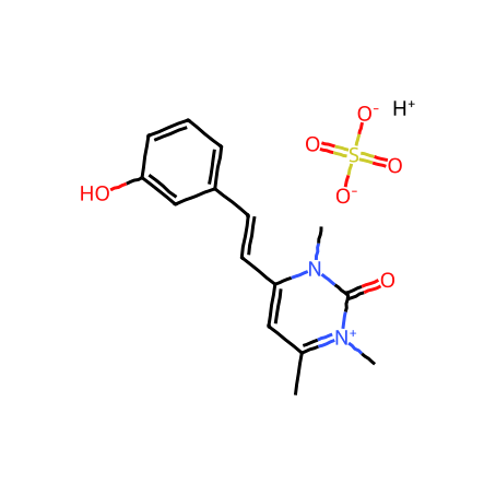 Cc1cc(/C=C/c2cccc(O)c2)n(C)c(=O)[n+]1C.O=S(=O)([O-])[O-].[H+]